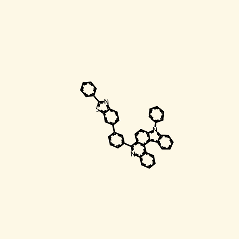 c1ccc(-c2nc3ccc(-c4cccc(-c5nc6ccccc6c6c5ccc5c6c6ccccc6n5-c5ccccc5)c4)cc3s2)cc1